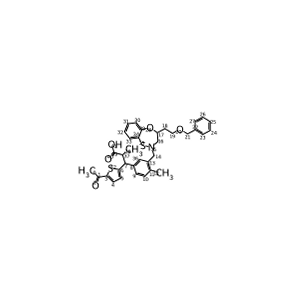 CC(=O)c1ccc(C(c2ccc(C)c(CN3CC(CCOCc4ccccc4)Oc4ccccc4S3)c2)C(C)C(=O)O)s1